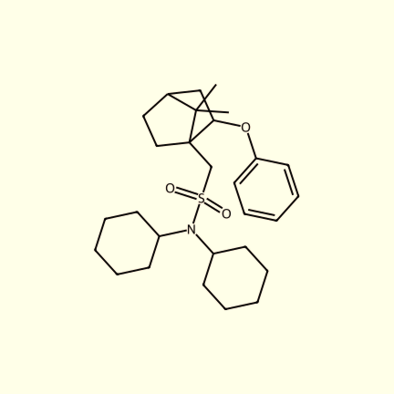 CC1(C)C2CCC1(CS(=O)(=O)N(C1CCCCC1)C1CCCCC1)C(Oc1ccccc1)C2